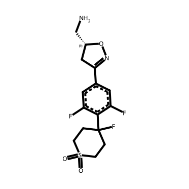 NC[C@H]1CC(c2cc(F)c(C3(F)CCS(=O)(=O)CC3)c(F)c2)=NO1